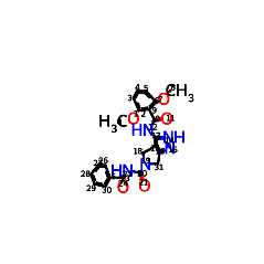 COc1cccc(OC)c1C(=O)Nc1[nH]nc2c1CN(C(=O)NC(=O)c1ccccc1)C2